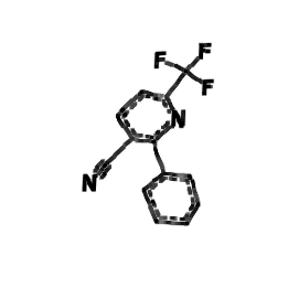 N#Cc1ccc(C(F)(F)F)nc1-c1ccccc1